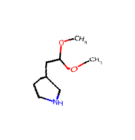 COC(CC1CCNC1)OC